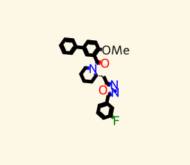 COc1ccc(-c2ccccc2)cc1C(=O)N1CCCC[C@H]1Cc1nnc(-c2cccc(F)c2)o1